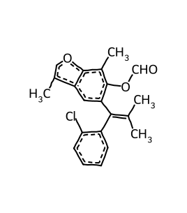 CC(C)=C(c1ccccc1Cl)c1cc2c(C)coc2c(C)c1OC=O